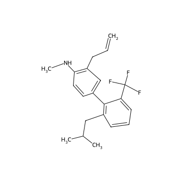 C=CCc1cc(-c2c(CC(C)C)cccc2C(F)(F)F)ccc1NC